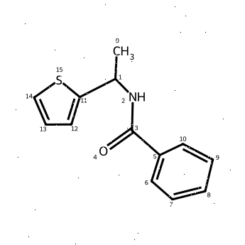 CC(NC(=O)c1ccccc1)c1cccs1